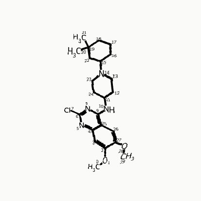 COc1cc2nc(Cl)nc(NC3CCN(C4CCCC(C)(C)C4)CC3)c2cc1OC